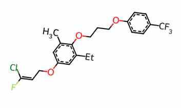 CCc1cc(OCC=C(F)Cl)cc(C)c1OCCCOc1ccc(C(F)(F)F)cc1